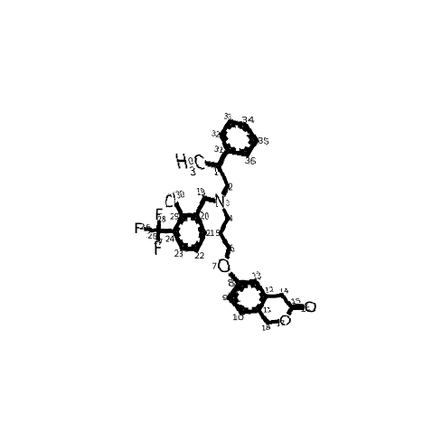 CC(CN(CCCOc1ccc2c(c1)CC(=O)OC2)Cc1cccc(C(F)(F)F)c1Cl)c1ccccc1